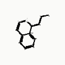 [CH2]CCC1OC=Cc2ccccc21